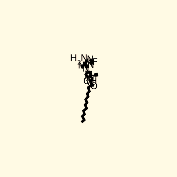 C#C[C@]1(COC(=O)CCCCCCCCCCCCC)C[C@@H](n2cnc3c(N)nc(F)nc32)C[C@@H]1O